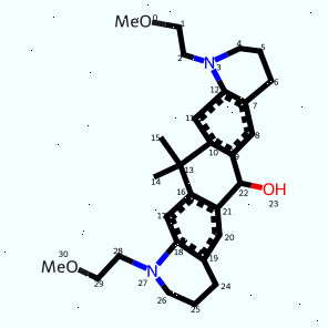 COCCN1CCCc2cc3c(cc21)C(C)(C)c1cc2c(cc1C3O)CCCN2CCOC